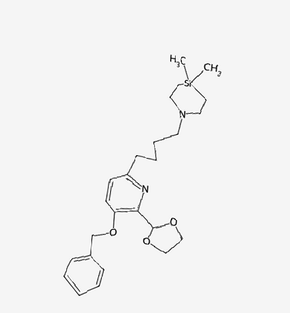 C[Si]1(C)CCN(CCCCc2ccc(OCc3ccccc3)c(C3OCCO3)n2)CC1